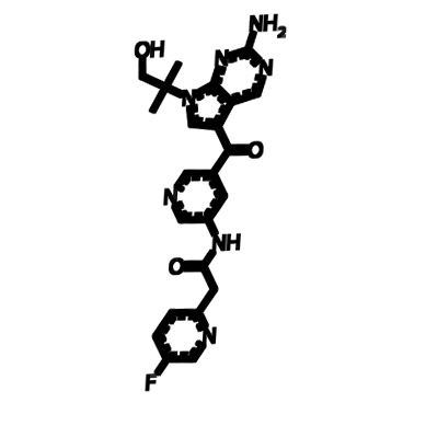 CC(C)(CO)n1cc(C(=O)c2cncc(NC(=O)Cc3ccc(F)cn3)c2)c2cnc(N)nc21